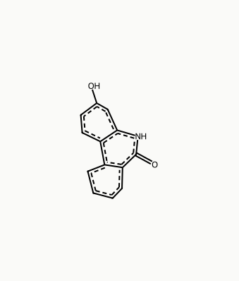 O=c1[nH]c2cc(O)ccc2c2ccccc12